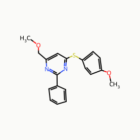 COCc1cc(Sc2ccc(OC)cc2)nc(-c2ccccc2)n1